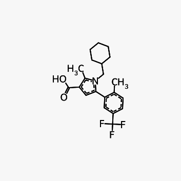 Cc1ccc(C(F)(F)F)cc1-c1cc(C(=O)O)c(C)n1CC1CCCCC1